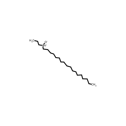 CCCCCCCCCCCCCCCCCC[NH+]([O-])CCC